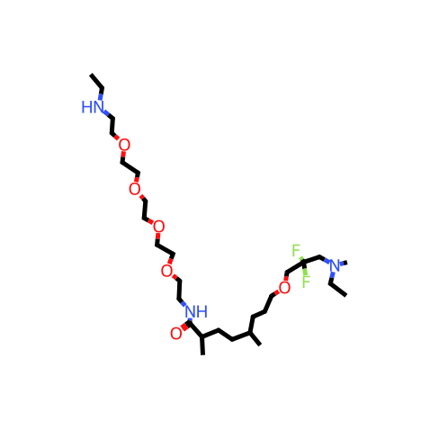 CCNCCOCCOCCOCCOCCNC(=O)C(C)CCC(C)CCCOCC(F)(F)CN(C)CC